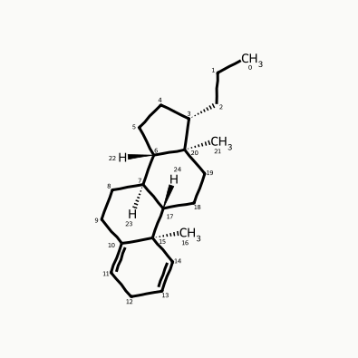 CCC[C@H]1CC[C@H]2[C@@H]3CCC4=CCC=C[C@]4(C)[C@H]3CC[C@]12C